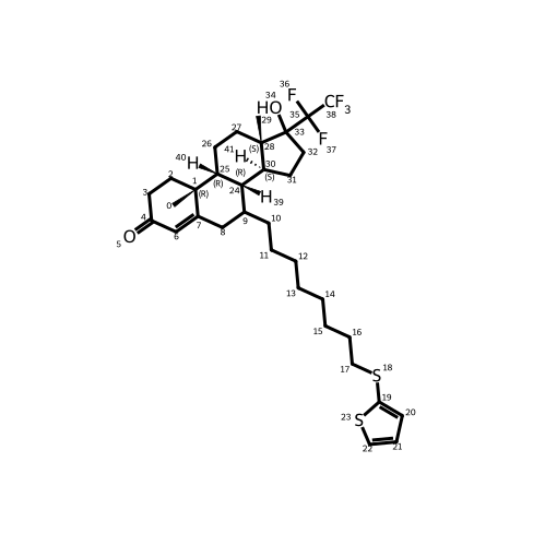 C[C@]12CCC(=O)C=C1CC(CCCCCCCCSc1cccs1)[C@@H]1[C@H]2CC[C@@]2(C)[C@H]1CCC2(O)C(F)(F)C(F)(F)F